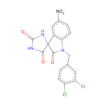 O=C1NC(=O)C2(N1)C(=O)N(Cc1ccc(Cl)c(Cl)c1)c1ccc([N+](=O)[O-])cc12